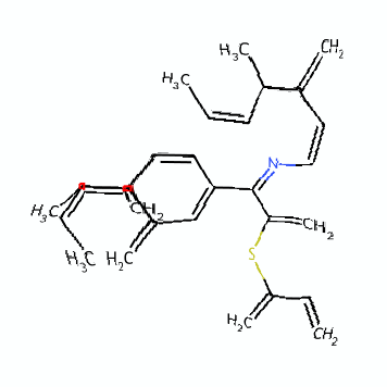 C=CC(=C)SC(=C)C(=N\C=C/C(=C)C(C)/C=C\C)/C(/C=C\C(=C)/C=C\C)=C/C(=C)/C=C\C